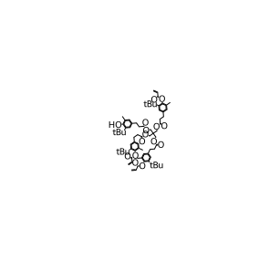 C=CC(=O)Oc1c(C)cc(CCC(=O)OCC(COC(=O)CCc2cc(C)c(O)c(C(C)(C)C)c2)(COC(=O)CCc2cc(C)c(OC(=O)C=C)c(C(C)(C)C)c2)COC(=O)CCc2cc(C)c(OC(=O)C=C)c(C(C)(C)C)c2)cc1C(C)(C)C